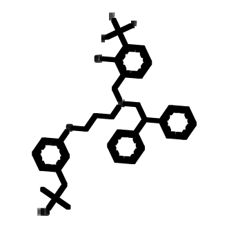 CC(C)(O)Cc1cccc(OCCCN(Cc2cccc(C(F)(F)F)c2Cl)CC(c2ccccc2)c2ccccc2)c1